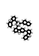 c1ccc2cc(-c3nc(-c4cccc5oc6ccccc6c45)nc(-c4cccc5oc6cc(-c7cccc8oc9ccccc9c78)ccc6c45)n3)ccc2c1